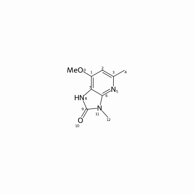 COc1cc(C)nc2c1[nH]c(=O)n2C